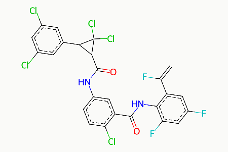 C=C(F)c1cc(F)cc(F)c1NC(=O)c1cc(NC(=O)C2C(c3cc(Cl)cc(Cl)c3)C2(Cl)Cl)ccc1Cl